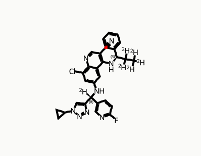 [2H]C([2H])([2H])C([2H])([2H])[C@@H](Nc1c(C#N)cnc2c(Cl)cc(N[C@]([2H])(c3ccc(F)nc3)c3cn(C4CC4)nn3)cc12)c1ccccc1